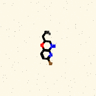 CCC1CNc2nc(Br)ccc2O1